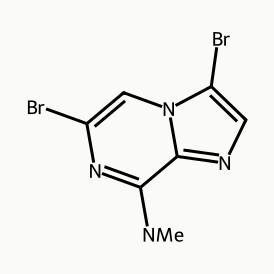 CNc1nc(Br)cn2c(Br)cnc12